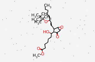 CCCCCC(C=CC1C2OC2C(=O)C1C(O)CCCCCC(=O)OC)O[Si](C)(C)C(C)(C)C